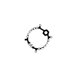 C=C1OCCCCOC(=O)c2ccc(cc2)C(=O)OCCCCOC(=O)c2ccc1cc2